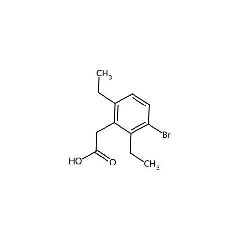 CCc1ccc(Br)c(CC)c1CC(=O)O